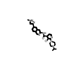 CC(C)N1CCN(c2nccc(C(=O)Nc3cc4cc(-c5cn(C)nn5)ccc4cn3)c2Cl)CC1